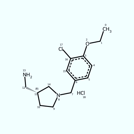 CCOc1ccc(CN2CC[C@H](CN)C2)cc1Cl.Cl